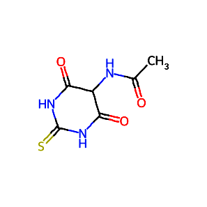 CC(=O)NC1C(=O)NC(=S)NC1=O